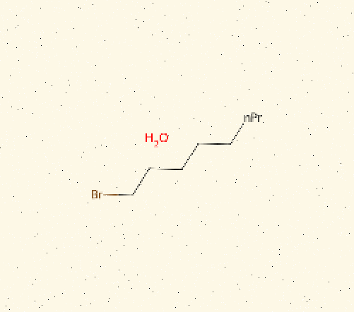 CCCCCCCCBr.O